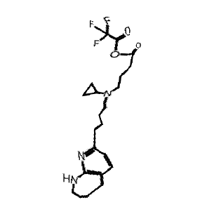 O=C(CCCN(CCCCc1ccc2c(n1)NCCC2)C1CC1)OC(=O)C(F)(F)F